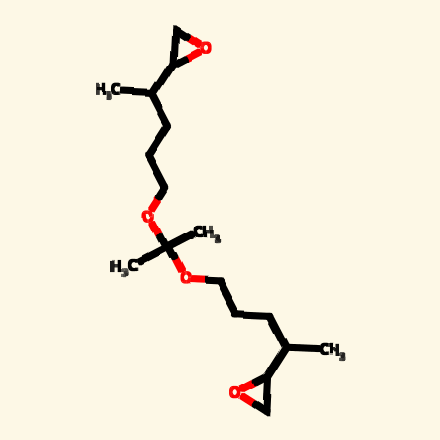 CC(CCCOC(C)(C)OCCCC(C)C1CO1)C1CO1